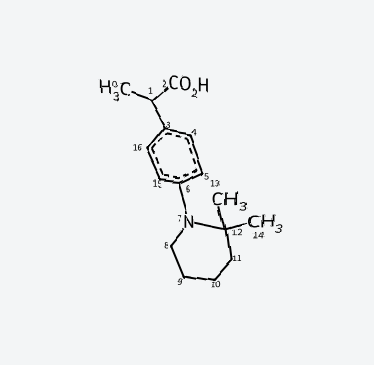 CC(C(=O)O)c1ccc(N2CCCCC2(C)C)cc1